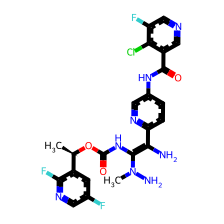 C[C@@H](OC(=O)N/C(=C(/N)c1ccc(NC(=O)c2cncc(F)c2Cl)cn1)N(C)N)c1cc(F)cnc1F